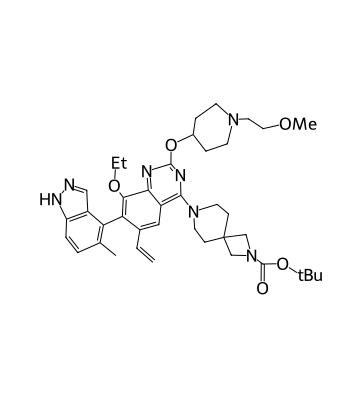 C=Cc1cc2c(N3CCC4(CC3)CN(C(=O)OC(C)(C)C)C4)nc(OC3CCN(CCOC)CC3)nc2c(OCC)c1-c1c(C)ccc2[nH]ncc12